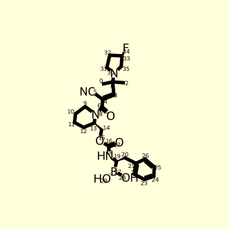 CC(C)(/C=C(\C#N)C(=O)N1CCCC[C@@H]1COC(=O)N[C@@H](Cc1ccccc1)B(O)O)N1CC[C@@H](F)C1